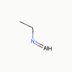 CC[N]=[AlH]